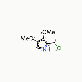 COc1c[nH]c(CCl)c1OC